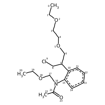 CCOCCOCC(CCl)c1ccccc1N(COCC)C(C)=O